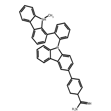 C[SiH]1c2ccccc2-c2cccc(-c3ccccc3-n3c4ccccc4c4cc(C5=CCC(C(=N)N)C=C5)ccc43)c21